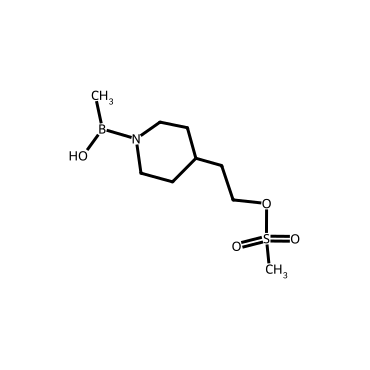 CB(O)N1CCC(CCOS(C)(=O)=O)CC1